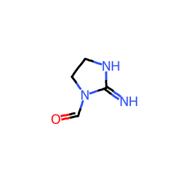 N=C1NCCN1C=O